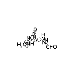 CS(=O)(=O)Nc1cnc2cc(N3CCOCC3)nc(O[C@H]3CC[C@@H](Nc4ncc(CC=O)cn4)CC3)c2c1